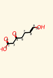 O=C(O)CC(=O)CCC=CO